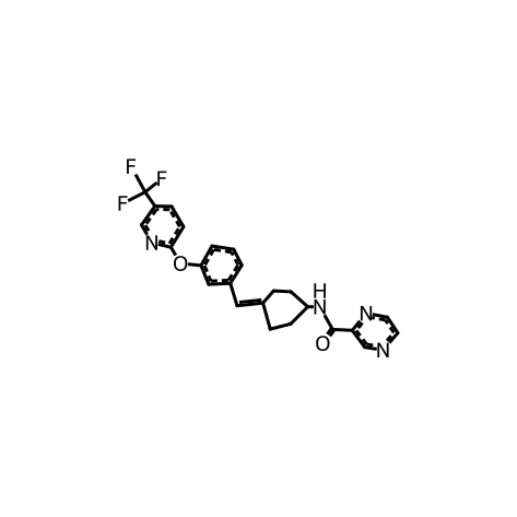 O=C(NC1CCC(=Cc2cccc(Oc3ccc(C(F)(F)F)cn3)c2)CC1)c1cnccn1